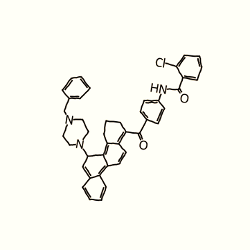 O=C(C1=c2ccc3c(c2CCC1)C(N1CCN(Cc2ccccc2)CC1)C=c1ccccc1=3)c1ccc(NC(=O)c2ccccc2Cl)cc1